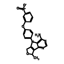 CC1OCc2c1c1ncnc(N)c1n2-c1ccc(Oc2cccc([N+](=O)[O-])c2)cc1